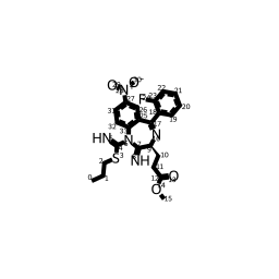 CCCSC(=N)N1C(=N)[C@H](CCC(=O)OC)N=C(c2ccccc2F)c2cc([N+](=O)[O-])ccc21